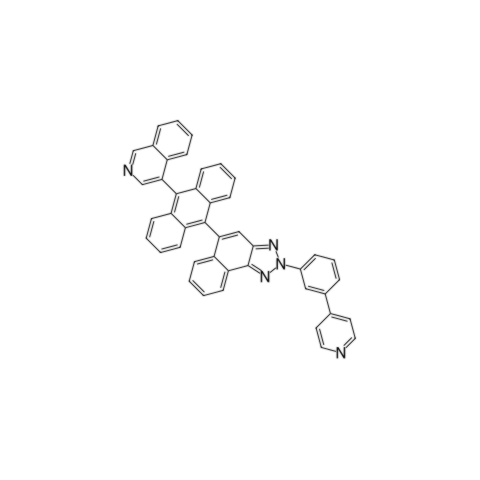 c1cc(-c2ccncc2)cc(-n2nc3cc(-c4c5ccccc5c(-c5cncc6ccccc56)c5ccccc45)c4ccccc4c3n2)c1